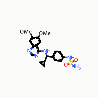 COc1cc2ncnc(NC(c3ccc(NS(N)(=O)=O)cc3)C3CC3)c2cc1OC